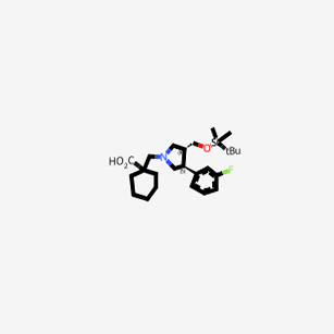 CC(C)(C)[Si](C)(C)OC[C@H]1CN(CC2(C(=O)O)CCCCC2)C[C@@H]1c1cccc(F)c1